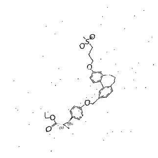 CCOC(=O)[C@H]1C[C@@H]1c1ccc(OCc2ccc3c(c2)-c2ccc(OCCCS(C)(=O)=O)cc2CCC3)cc1